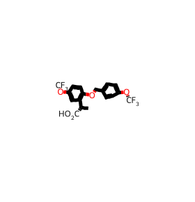 CC(C(=O)O)c1cc(OC(F)(F)F)ccc1OCc1ccc(OC(F)(F)F)cc1